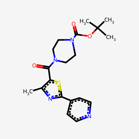 Cc1nc(-c2ccncc2)sc1C(=O)N1CCN(C(=O)OC(C)(C)C)CC1